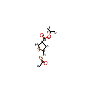 CC(=O)SCC1CC(C(=O)OC(C)C)CS1